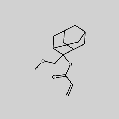 C=CC(=O)OC1(COC)C2CC3CC(C2)CC1C3